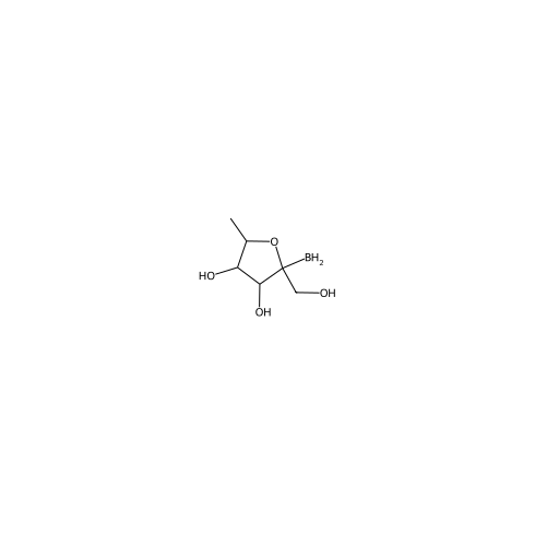 BC1(CO)OC(C)C(O)C1O